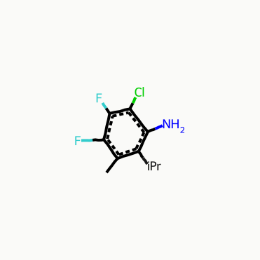 Cc1c(F)c(F)c(Cl)c(N)c1C(C)C